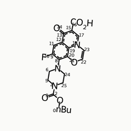 CCCCOC(=O)N1CCN(c2c(F)cc3c(=O)c(C(=O)O)cn4c3c2OC=C4)CC1